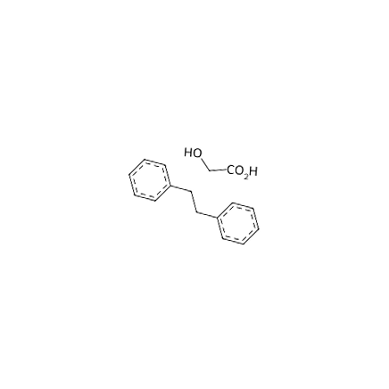 O=C(O)CO.c1ccc(CCc2ccccc2)cc1